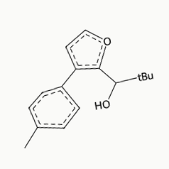 Cc1ccc(-c2ccoc2C(O)C(C)(C)C)cc1